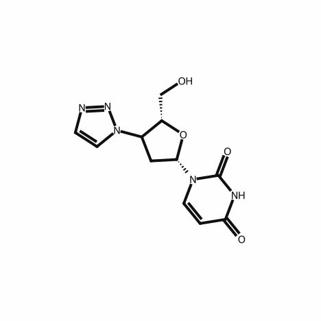 O=c1ccn([C@@H]2CC(n3ccnn3)[C@H](CO)O2)c(=O)[nH]1